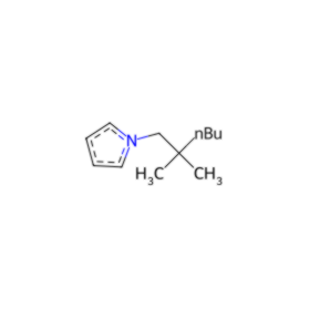 CCCCC(C)(C)Cn1cccc1